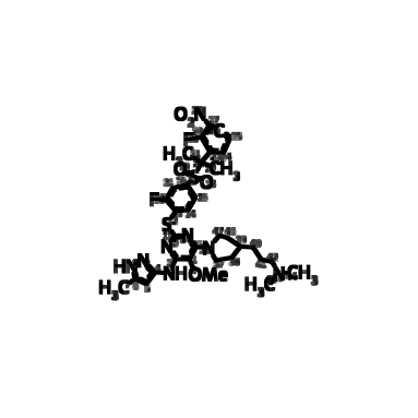 COc1c(Nc2cc(C)[nH]n2)nc(Sc2ccc(S(=O)(=O)C(C)(C)c3cccc([N+](=O)[O-])c3F)cc2F)nc1N1CCC(CCCN(C)C)CC1